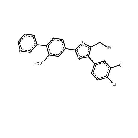 CC(C)Cc1sc(-c2ccc(-c3cccnc3)c(C(=O)O)c2)nc1-c1ccc(Cl)c(Cl)c1